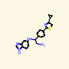 NCC(Nc1ccc2[nH]cnc2c1)c1ccc(-c2nc(C3CC3)cs2)cc1